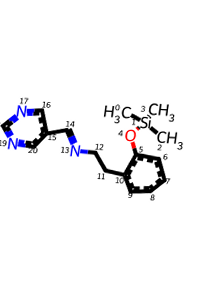 C[Si](C)(C)Oc1ccccc1CCN=Cc1cncnc1